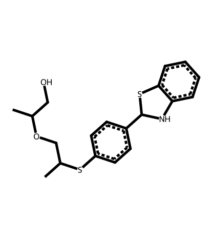 CC(CO)OCC(C)Sc1ccc(C2Nc3ccccc3S2)cc1